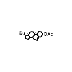 CC[C@@H](C)C1CCC2C3CC=C4C[C@@H](OC(C)=O)CC[C@]4(C)C3CC[C@@]21C